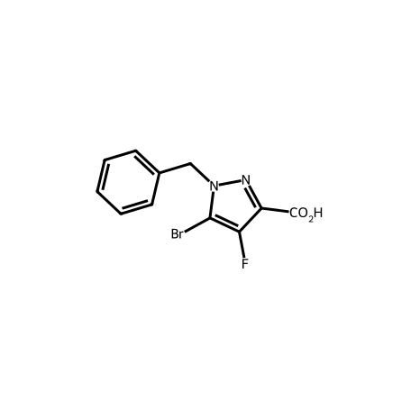 O=C(O)c1nn(Cc2ccccc2)c(Br)c1F